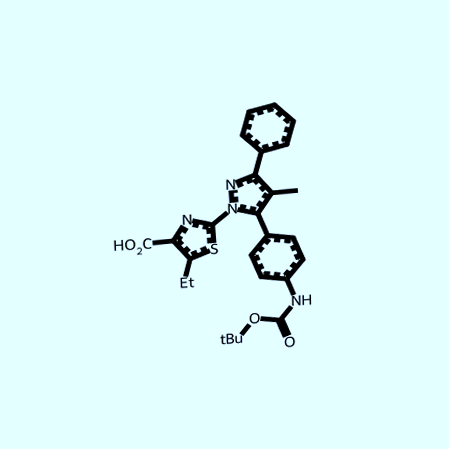 CCc1sc(-n2nc(-c3ccccc3)c(C)c2-c2ccc(NC(=O)OC(C)(C)C)cc2)nc1C(=O)O